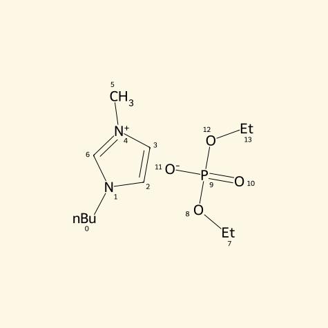 CCCCn1cc[n+](C)c1.CCOP(=O)([O-])OCC